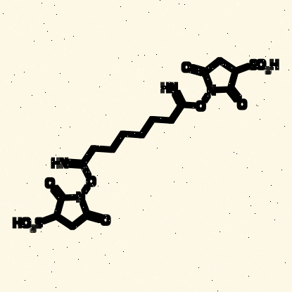 N=C(CCCCCCC(=N)ON1C(=O)CC(S(=O)(=O)O)C1=O)ON1C(=O)CC(S(=O)(=O)O)C1=O